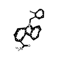 NC(=O)c1cccc2c1c1[c]cccc1n2Cc1ccccc1I